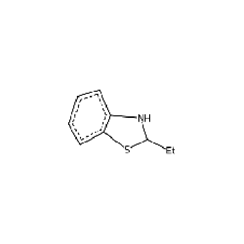 CCC1Nc2ccccc2S1